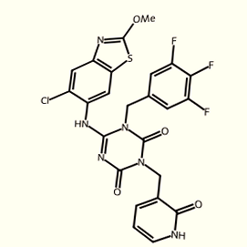 COc1nc2cc(Cl)c(Nc3nc(=O)n(Cc4ccc[nH]c4=O)c(=O)n3Cc3cc(F)c(F)c(F)c3)cc2s1